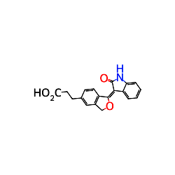 O=C(O)CCc1ccc2c(c1)CO/C2=C1/C(=O)Nc2ccccc21